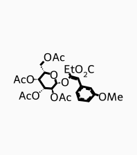 CCOC(=O)/C(=C/c1cccc(OC)c1)O[C@H]1O[C@@H](COC(C)=O)[C@@H](OC(C)=O)[C@@H](OC(C)=O)[C@@H]1OC(C)=O